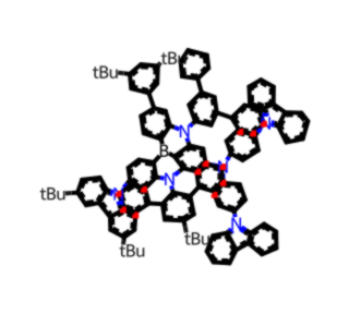 CC(C)(C)c1cc(-c2ccc3c(c2)N(c2cc(-c4ccccc4)cc(-c4ccccc4)c2)c2cc(N(c4ccc(-n5c6ccccc6c6ccccc65)cc4)c4ccc(-n5c6ccccc6c6ccccc65)cc4)cc4c2B3c2ccc(-n3c5ccc(C(C)(C)C)cc5c5cc(C(C)(C)C)ccc53)cc2N4c2c(-c3ccccc3)cc(C(C)(C)C)cc2-c2ccccc2)cc(C(C)(C)C)c1